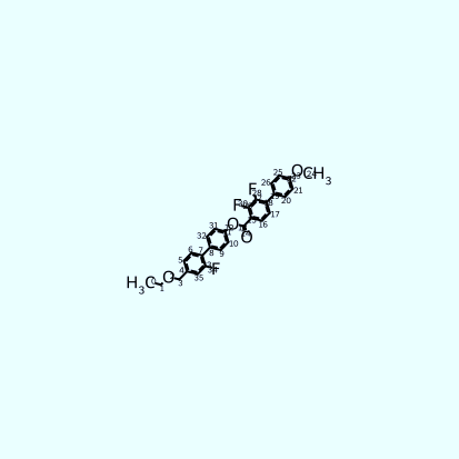 CCOCc1ccc(-c2ccc(OC(=O)c3ccc(-c4ccc(OC)cc4)c(F)c3F)cc2)c(F)c1